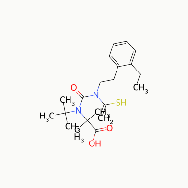 C=C(S)N(CCc1ccccc1CC)C(=O)N(C(C)(C)C)C(C)(C)C(=O)O